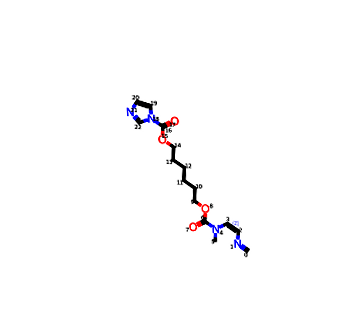 C=N/C=C\N(C)C(=O)OCCCCCCOC(=O)n1ccnc1